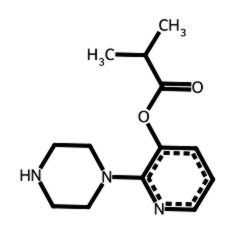 CC(C)C(=O)Oc1cccnc1N1CCNCC1